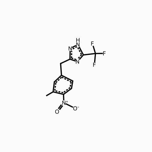 Cc1cc(Cc2n[nH]c(C(F)(F)F)n2)ccc1[N+](=O)[O-]